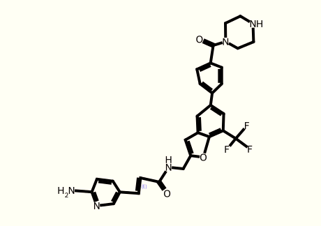 Nc1ccc(/C=C/C(=O)NCc2cc3cc(-c4ccc(C(=O)N5CCNCC5)cc4)cc(C(F)(F)F)c3o2)cn1